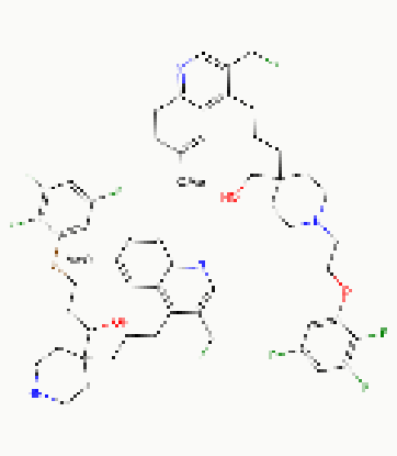 COc1ccc2ncc(CF)c(CCCC3(C(O)CCSc4cc(F)cc(F)c4F)CCNCC3)c2c1.COc1ccc2ncc(CF)c(CCCC3(CO)CCN(CCOc4cc(F)cc(F)c4F)CC3)c2c1